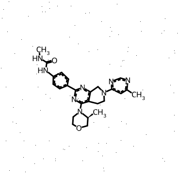 CNC(=O)Nc1ccc(-c2nc3c(c(N4CCOC[C@@H]4C)n2)CCN(c2cc(C)ncn2)C3)cc1